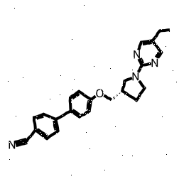 CCc1cnc(N2CC[C@H](COc3ccc(-c4ccc(C#N)cc4)cc3)C2)nc1